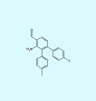 Nc1c(C=O)ccc(-c2ccc(I)cc2)c1-c1ccc(I)cc1